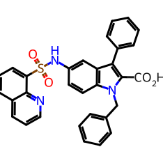 O=C(O)c1c(-c2ccccc2)c2cc(NS(=O)(=O)c3cccc4cccnc34)ccc2n1Cc1ccccc1